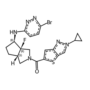 O=C(c1cc2nn(C3CC3)cc2s1)N1C[C@@H]2CC[C@@H](Nc3ccc(Br)nn3)[C@]2(F)C1